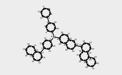 c1ccc(-c2ccc(N(c3ccc(-c4cccc5ccccc45)cc3)c3ccc4cc(-c5cccc6c5ccc5ccccc56)ccc4c3)cc2)cc1